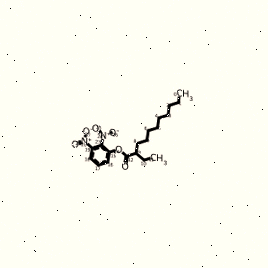 CCCCCCCCCC(CC)C(=O)Oc1cccc([N+](=O)[O-])c1[N+](=O)[O-]